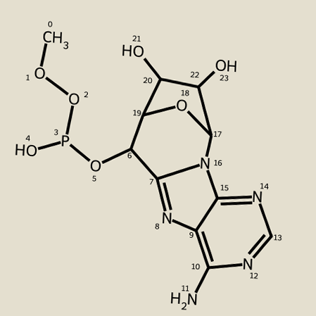 COOP(O)OC1c2nc3c(N)ncnc3n2C2OC1C(O)C2O